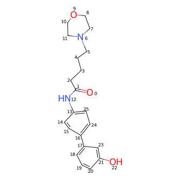 O=C(CCCCN1CCOCC1)Nc1ccc(-c2cccc(O)c2)cc1